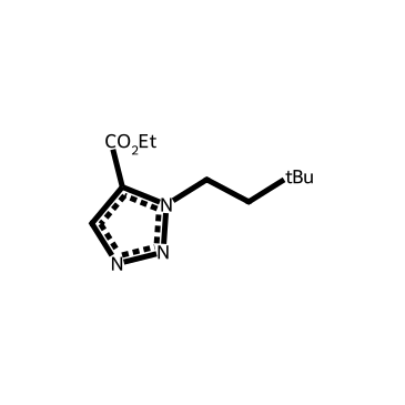 CCOC(=O)c1cnnn1CCC(C)(C)C